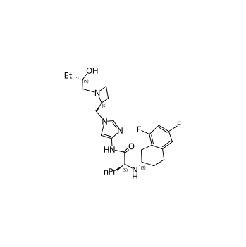 CCC[C@H](N[C@H]1CCc2cc(F)cc(F)c2C1)C(=O)Nc1cn(C[C@@H]2CCN2C[C@@H](O)CC)cn1